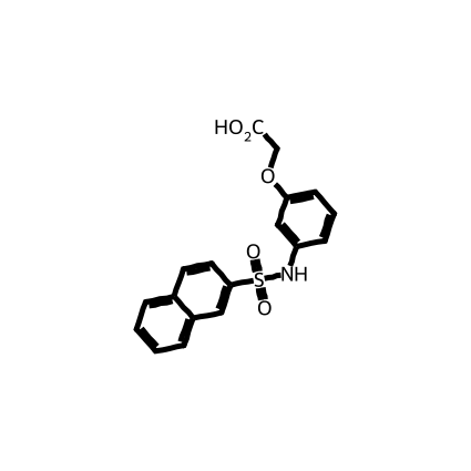 O=C(O)COc1cccc(NS(=O)(=O)c2ccc3ccccc3c2)c1